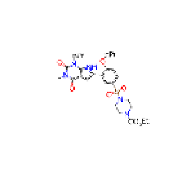 CCCOc1ccc(S(=O)(=O)N2CCN(C(=O)OCC)CC2)cc1-c1cc2c(=O)n(C)c(=O)n(CCC)c2[nH]1